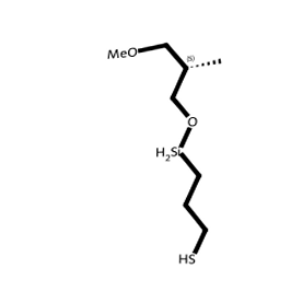 COC[C@H](C)CO[SiH2]CCCS